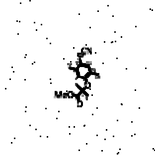 COC(=O)C(C)(C)Oc1cc(C)c(SC#N)cc1C